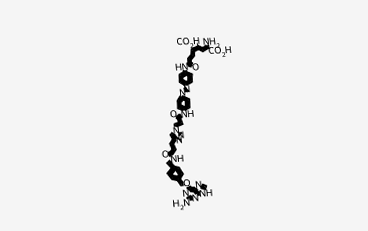 Nc1nc(OCc2ccc(CNC(=O)CCc3cn(CCC(=O)Nc4ccc(/N=N/c5ccc(NC(=O)CCC[C@@H](C[C@H](N)C(=O)O)C(=O)O)cc5)cc4)nn3)cc2)c2nc[nH]c2n1